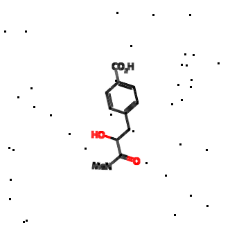 CNC(=O)C(O)Cc1ccc(C(=O)O)cc1